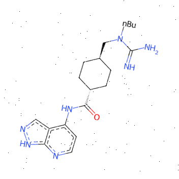 CCCCN(C[C@H]1CC[C@H](C(=O)Nc2ccnc3[nH]ncc23)CC1)C(=N)N